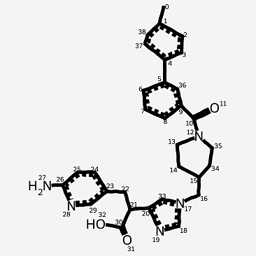 Cc1ccc(-c2cccc(C(=O)N3CCC(Cn4cnc(C(Cc5ccc(N)nc5)C(=O)O)c4)CC3)c2)cc1